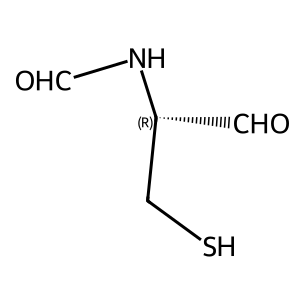 O=CN[C@H](C=O)CS